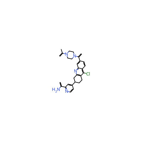 C=C(N)c1cc(C2CCc3c(nc4cc(C(=C)N5CCN(C(=C)C)CC5)ccc4c3Cl)C2)ccn1